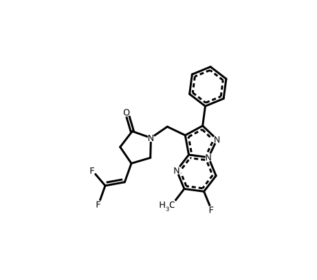 Cc1nc2c(CN3CC(C=C(F)F)CC3=O)c(-c3ccccc3)nn2cc1F